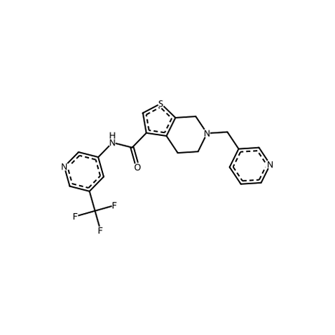 O=C(Nc1cncc(C(F)(F)F)c1)c1csc2c1CCN(Cc1cccnc1)C2